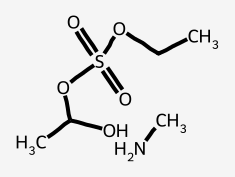 CCOS(=O)(=O)OC(C)O.CN